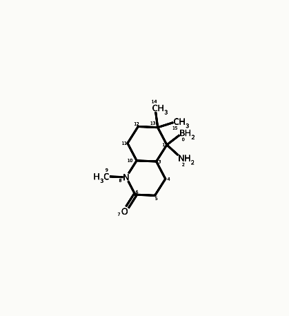 BC1(N)C2CCC(=O)N(C)C2CCC1(C)C